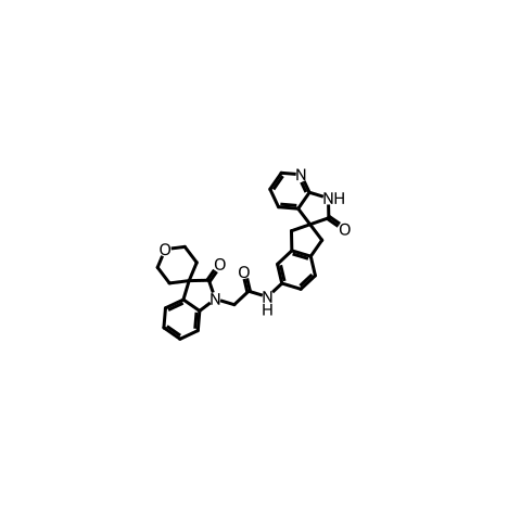 O=C(CN1C(=O)C2(CCOCC2)c2ccccc21)Nc1ccc2c(c1)CC1(C2)C(=O)Nc2ncccc21